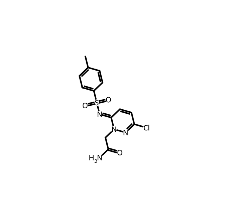 Cc1ccc(S(=O)(=O)/N=c2\ccc(Cl)nn2CC(N)=O)cc1